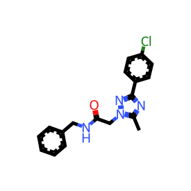 Cc1nc(-c2ccc(Cl)cc2)nn1CC(=O)NCc1ccccc1